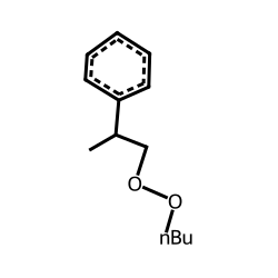 CCCCOOCC(C)c1ccccc1